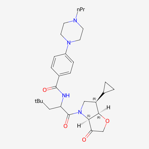 CCCN1CCN(c2ccc(C(=O)NC(CC(C)(C)C)C(=O)N3C[C@@H](C4CC4)[C@H]4OCC(=O)[C@H]43)cc2)CC1